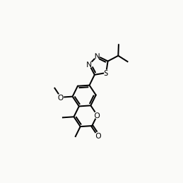 COc1cc(-c2nnc(C(C)C)s2)cc2oc(=O)c(C)c(C)c12